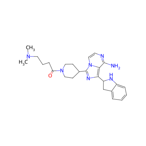 CN(C)CCCC(=O)N1CCC(c2nc(C3Cc4ccccc4N3)c3c(N)nccn23)CC1